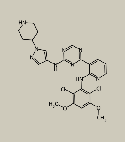 COc1cc(OC)c(Cl)c(Nc2ncccc2-c2ncnc(Nc3cnn(C4CCNCC4)c3)n2)c1Cl